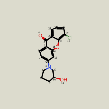 O=c1c2ccc(N3CCC[C@H](O)C3)cc2oc2c(Cl)cccc12